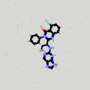 CCC(Nc1ncc2nc[nH]c2n1)c1nc2cccc(F)c2c(=O)n1-c1ccccc1